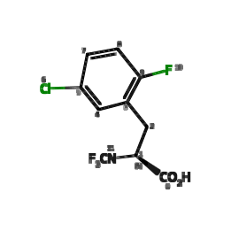 O=C(O)[C@H](Cc1cc(Cl)ccc1F)NC(F)(F)F